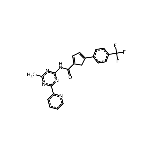 Cc1nc(NC(=O)C2=CC=C(c3ccc(C(F)(F)F)cc3)C2)nc(-c2ccccn2)n1